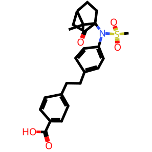 CC1(C)C2CCC1(N(c1ccc(CCc3ccc(C(=O)O)cc3)cc1)S(C)(=O)=O)C(=O)C2